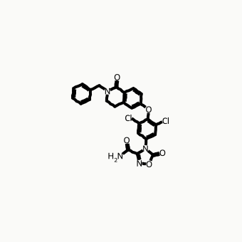 NC(=O)c1noc(=O)n1-c1cc(Cl)c(Oc2ccc3c(c2)CCN(Cc2ccccc2)C3=O)c(Cl)c1